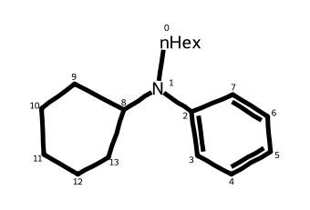 CCCCCCN(c1ccccc1)C1CCCCC1